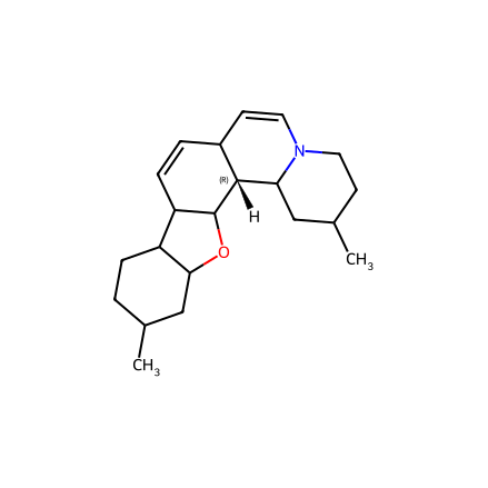 CC1CCC2C(C1)OC1C2C=CC2C=CN3CCC(C)CC3[C@@H]21